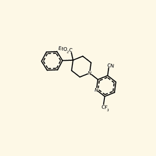 CCOC(=O)C1(c2ccccc2)CCN(c2nc(C(F)(F)F)ccc2C#N)CC1